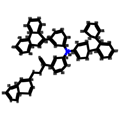 C=C(CCc1ccc2ccccc2c1)c1cccc(N(C2=CCC(c3ccccc3C3C=CC=CC3)C=C2)c2cccc(-c3cc4ccccc4c4ccccc34)c2)c1